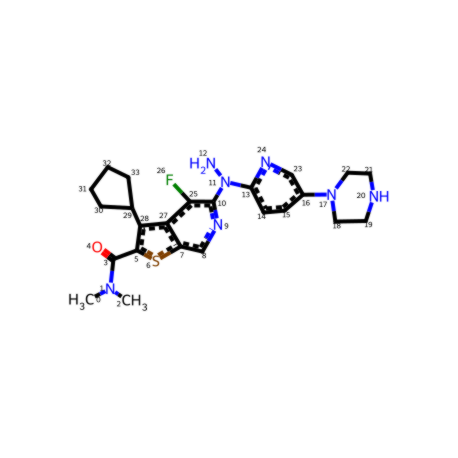 CN(C)C(=O)c1sc2cnc(N(N)c3ccc(N4CCNCC4)cn3)c(F)c2c1C1CCCC1